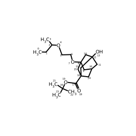 CCC(C)OCCOC12CC3CC(O)(C1)CC(C(=O)OC(C)(C)C)(C3)C2